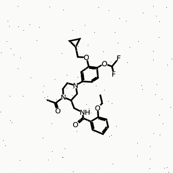 CCOc1ccccc1C(=O)NCC1CN(c2ccc(OC(F)F)c(OCC3CC3)c2)CCN1C(C)=O